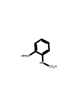 CCCCCc1ccccc1NC(=O)O